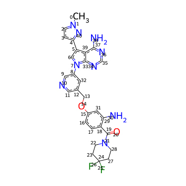 Cn1ccc(-c2cn(-c3cncc(COc4ccc(C(=O)N5CCC(F)(F)CC5)c(N)c4)c3)c3ncnc(N)c23)n1